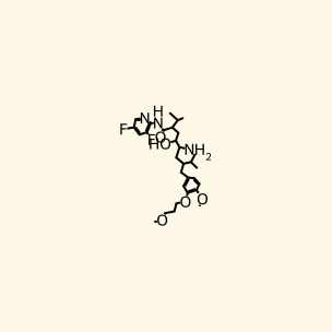 COCCCOc1cc(CC(CC(N)C(O)CC(C(=O)Nc2ncc(F)cc2F)C(C)C)C(C)C)ccc1OC